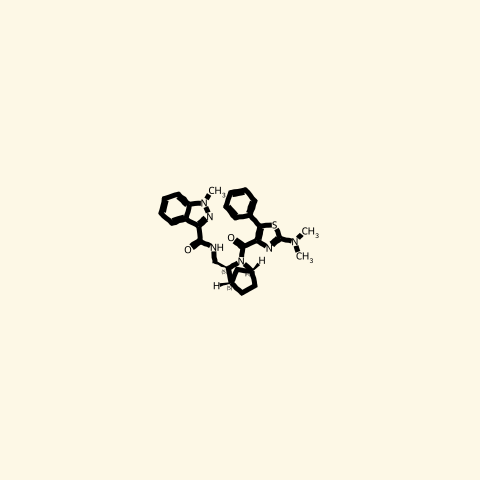 CN(C)c1nc(C(=O)N2[C@@H]3CC[C@@H](C3)[C@H]2CNC(=O)c2nn(C)c3ccccc23)c(-c2ccccc2)s1